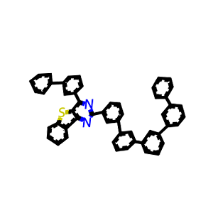 c1ccc(-c2cccc(-c3cccc(-c4cccc(-c5cccc(-c6nc(-c7cccc(-c8ccccc8)c7)c7sc8ccccc8c7n6)c5)c4)c3)c2)cc1